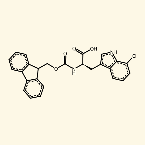 O=C(N[C@H](Cc1c[nH]c2c(Cl)cccc12)C(=O)O)OCC1c2ccccc2-c2ccccc21